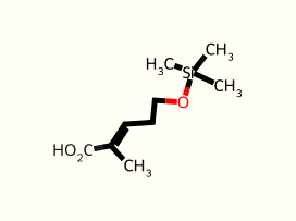 CC(=CCCO[Si](C)(C)C)C(=O)O